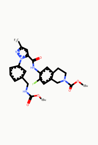 CC(C)(C)OC(=O)NCc1cccc(-n2nc(C(F)(F)F)cc2C(=O)Nc2cc3c(cc2F)CN(C(=O)OC(C)(C)C)CC3)c1